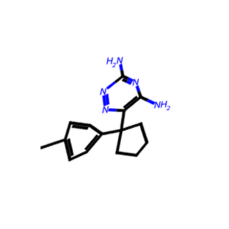 Cc1ccc(C2(c3nnc(N)nc3N)CCCC2)cc1